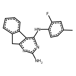 Cc1ccc(Nc2nc(N)nc3c2-c2ccccc2C3)c(F)c1